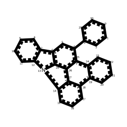 c1ccc(-c2cc3c4ccccc4n4c5cccc6c7ccccc7c2c(c65)c34)cc1